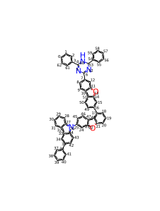 c1ccc(C2=NC(c3ccc4c(c3)oc3cc(-c5cccc6oc7cc(-n8c9ccccc9c9cc(-c%10ccccc%10)ccc98)ccc7c56)ccc34)=NC(c3ccccc3)N2)cc1